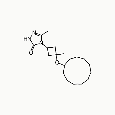 Cc1n[nH]c(=O)n1C1CC(C)(OC2CCCCCCCCCC2)C1